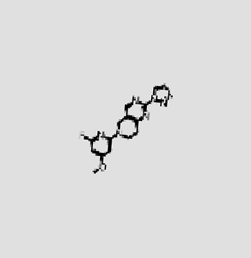 COc1cc(F)nc(N2CCc3nc(-n4ccnn4)ncc3C2)c1